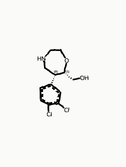 OC[C@H]1OCCNC[C@H]1c1ccc(Cl)c(Cl)c1